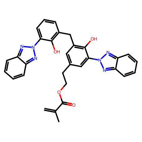 C=C(C)C(=O)OCCc1cc(Cc2cccc(-n3nc4ccccc4n3)c2O)c(O)c(-n2nc3ccccc3n2)c1